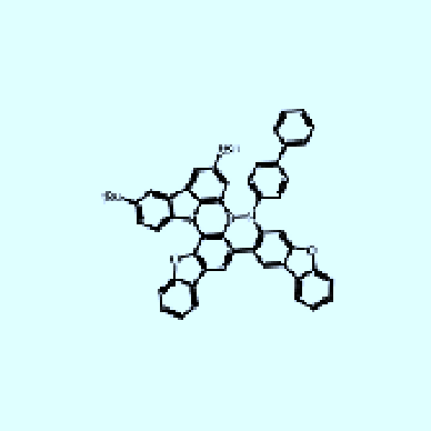 CC(C)(C)c1ccc2c(c1)c1cc(C(C)(C)C)cc3c1n2-c1c2c(cc4c1oc1ccccc14)-c1cc4c(cc1N(c1ccc(-c5ccccc5)cc1)B23)oc1ccccc14